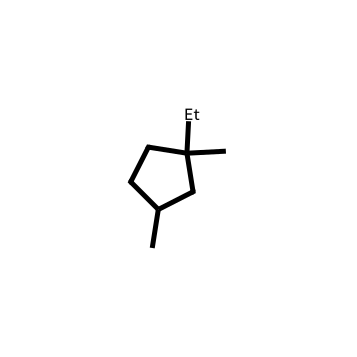 CCC1(C)CCC(C)C1